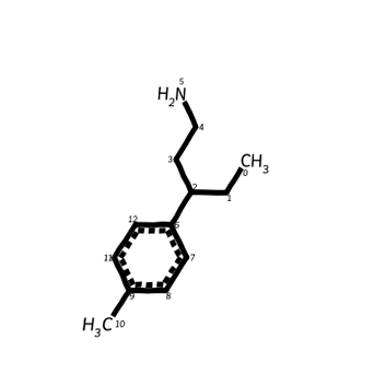 CCC(CCN)c1ccc(C)cc1